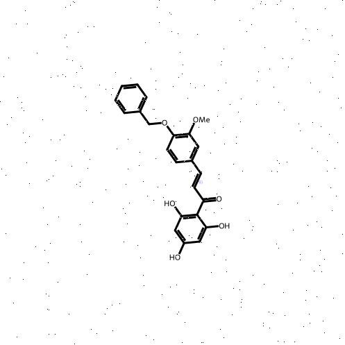 COc1cc(/C=C/C(=O)c2c(O)cc(O)cc2O)ccc1OCc1ccccc1